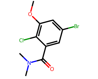 COc1cc(Br)cc(C(=O)N(C)C)c1Cl